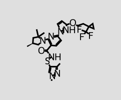 Cc1nn(C)cc1SNC(=O)c1ccc(N2C=CC(OCCC3(C(F)(F)F)CC3)N2)nc1N1C[C@@H](C)CC1(C)C